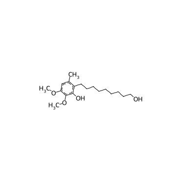 COc1cc(C)c(CCCCCCCCCO)c(O)c1OC